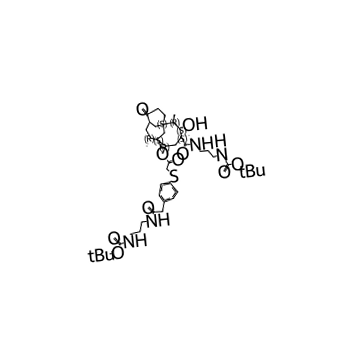 C[C@@H]1CC2C[C@@]3(CCC2=O)C[C@]1(C)[C@H](OC(=O)CSc1ccc(CC(=O)NCCCNC(=O)OC(C)(C)C)cc1)C[C@](C)(C(=O)NCCCNC(=O)OC(C)(C)C)[C@@H](O)[C@@H]3C